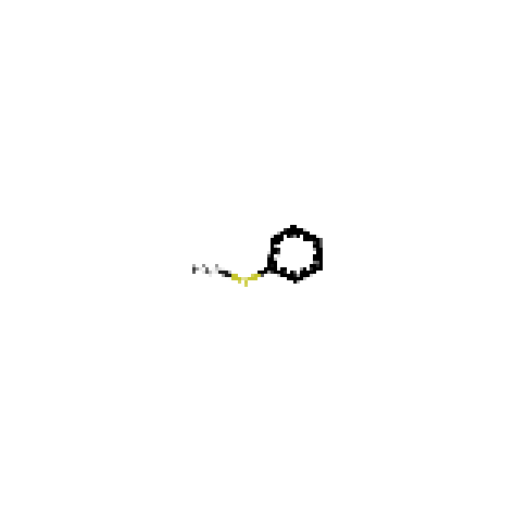 O=S(=O)(O)Sc1ccccc1